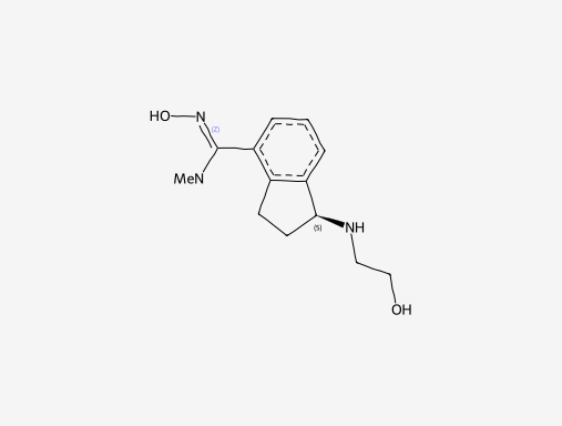 CN/C(=N\O)c1cccc2c1CC[C@@H]2NCCO